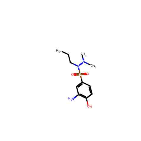 CCCN(N(C)C)S(=O)(=O)c1ccc(O)c(N)c1